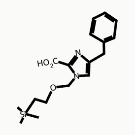 C[Si](C)(C)CCOCn1cc(Cc2ccccc2)nc1C(=O)O